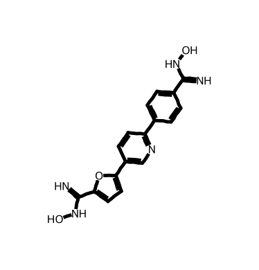 N=C(NO)c1ccc(-c2ccc(-c3ccc(C(=N)NO)o3)cn2)cc1